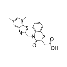 Cc1cc(C)c2sc(CN3C(=O)C(CC(=O)O)Sc4ccccc43)nc2c1